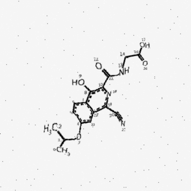 CC(C)Oc1ccc2c(O)c(C(=O)NCC(=O)O)nc(C#N)c2c1